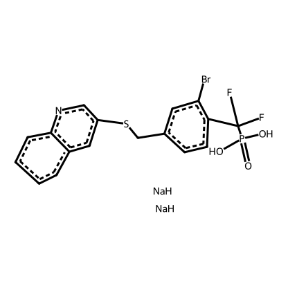 O=P(O)(O)C(F)(F)c1ccc(CSc2cnc3ccccc3c2)cc1Br.[NaH].[NaH]